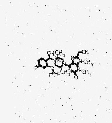 CC(c1ccc(F)cc1OC(F)F)N1C[C@H](C)N(c2nc(=O)n(C)c3c2nc(CC#N)n3C)C[C@H]1C